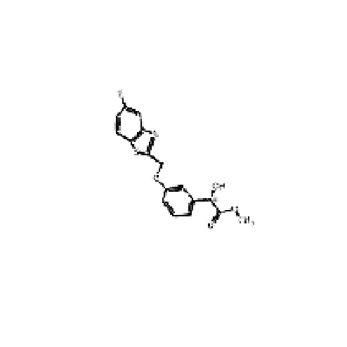 COC(=O)[C@H](O)c1cccc(OCc2nc3cc(F)ccc3s2)c1